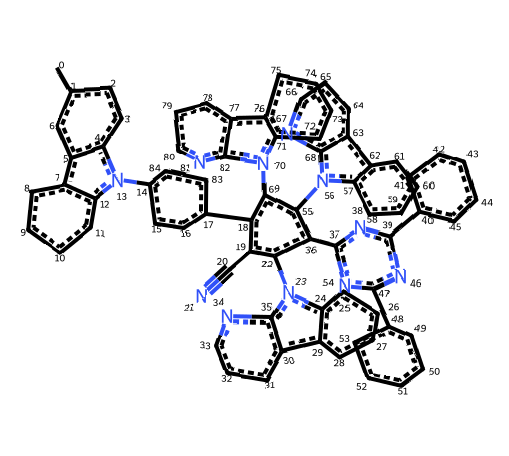 Cc1ccc2c(c1)c1ccccc1n2-c1ccc(-c2c(C#N)c(-n3c4ccccc4c4cccnc43)c(-c3nc(-c4ccccc4)nc(-c4ccccc4)n3)c(-n3c4ccccc4c4cccnc43)c2-n2c3ccccc3c3cccnc32)cc1